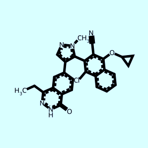 CCc1n[nH]c(=O)c2ccc(-c3cnn(C)c3-c3c(C#N)c(OC4CC4)c4ccccc4c3Cl)cc12